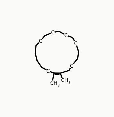 CC1=C(C)CCCCCCCCCCCCCCCC1